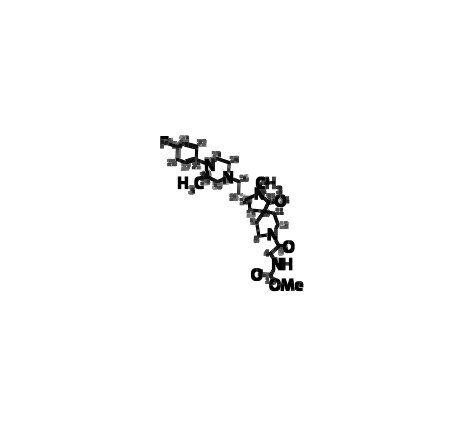 COC(=O)NCC(=O)N1CCC2(CC1)C[C@H](CCN1CCN(c3ccc(F)cc3)[C@H](C)C1)N(C)C2=O